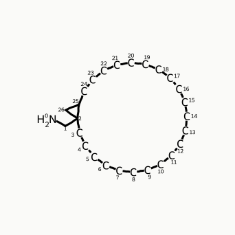 NCC12CCCCCCCCCCCCCCCCCCCCCCC1C2